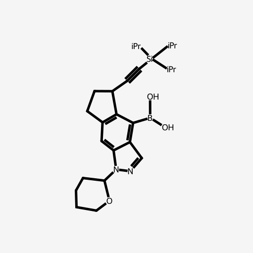 CC(C)[Si](C#CC1CCc2cc3c(cnn3C3CCCCO3)c(B(O)O)c21)(C(C)C)C(C)C